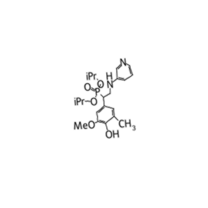 COc1cc(C(CNc2cccnc2)P(=O)(OC(C)C)OC(C)C)cc(C)c1O